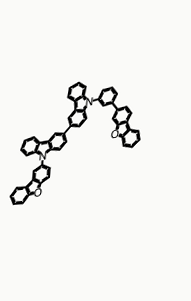 c1cc(-c2ccc3c(c2)oc2ccccc23)cc(-n2c3ccccc3c3cc(-c4ccc5c(c4)c4ccccc4n5-c4ccc5oc6ccccc6c5c4)ccc32)c1